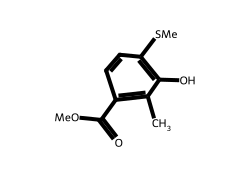 COC(=O)c1ccc(SC)c(O)c1C